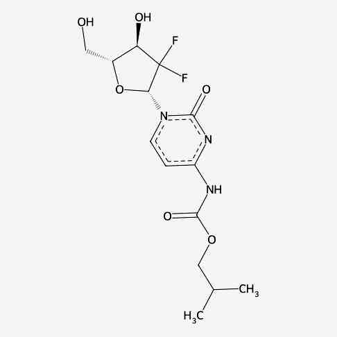 CC(C)COC(=O)Nc1ccn([C@@H]2O[C@H](CO)[C@@H](O)C2(F)F)c(=O)n1